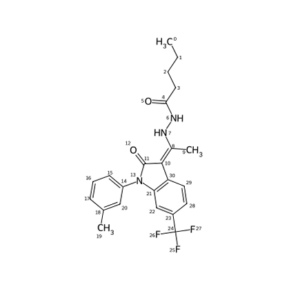 CCCCC(=O)NN/C(C)=C1\C(=O)N(c2cccc(C)c2)c2cc(C(F)(F)F)ccc21